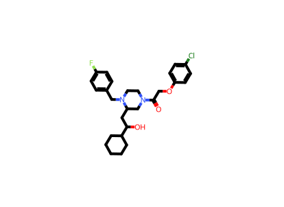 O=C(COc1ccc(Cl)cc1)N1CCN(Cc2ccc(F)cc2)C(CC(O)C2CCCCC2)C1